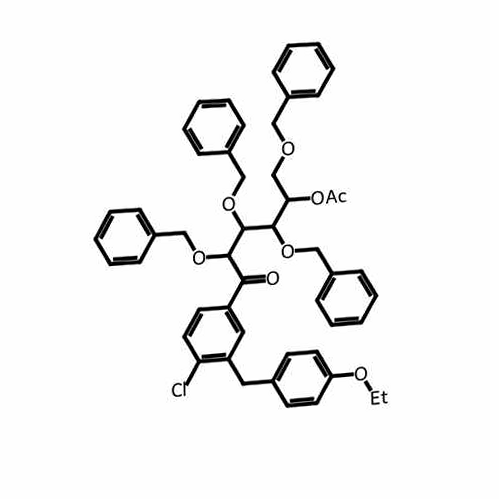 CCOc1ccc(Cc2cc(C(=O)C(OCc3ccccc3)C(OCc3ccccc3)C(OCc3ccccc3)C(COCc3ccccc3)OC(C)=O)ccc2Cl)cc1